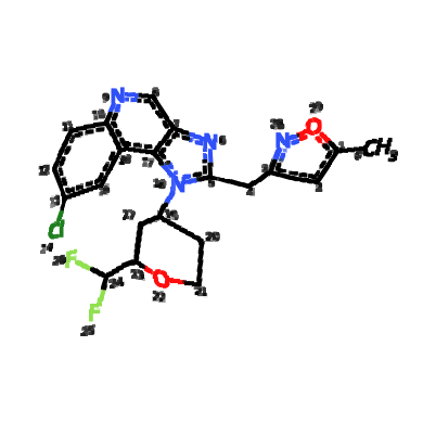 Cc1cc(Cc2nc3cnc4ccc(Cl)cc4c3n2C2CCOC(C(F)F)C2)no1